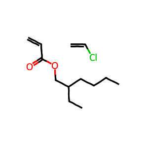 C=CC(=O)OCC(CC)CCCC.C=CCl